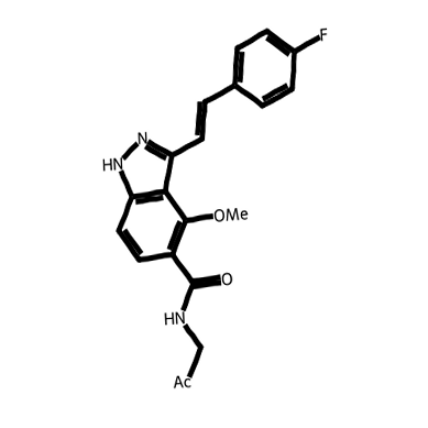 COc1c(C(=O)NCC(C)=O)ccc2[nH]nc(/C=C/c3ccc(F)cc3)c12